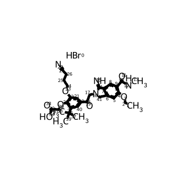 Br.CCOc1cc2c(cc1C(=O)NC)C(=N)N(CC(=O)c1cc(OCCCC#N)c(OCC(=O)O)c(C(C)(C)C)c1)C2